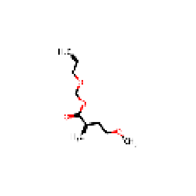 C=CCOCOC(=O)C(=C)CCOC